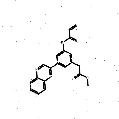 C=CC(=O)Nc1cc(CC(=O)OC)cc(-c2cnc3ccccc3n2)c1